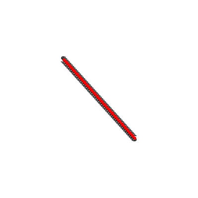 S=S=S=S=S=S=S=S=S=S=S=S=S=S=S=S=S=S=S=S=S=S=S=S=S=S=S=S=S=S=S=S=S=S=S=S=S=S=S=S=S=S=S=S=S=S=S=S=S=S=S=S=S=S=S=S=S=S=S=S=S=S=S=S=S=S=S=S=S=S=S=S=S=S=S=S=S=S=S=S=S=S=S=S=S=S=S=S=S=S=S=S=S=S=S=S=S=S=S=S=S=S=S=S